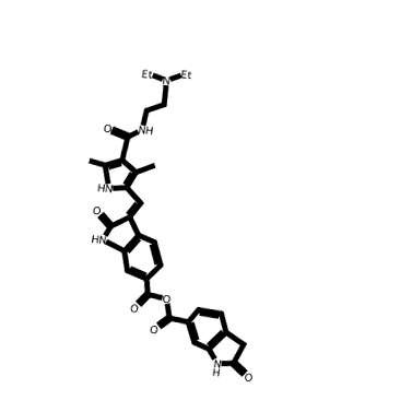 CCN(CC)CCNC(=O)c1c(C)[nH]c(C=C2C(=O)Nc3cc(C(=O)OC(=O)c4ccc5c(c4)NC(=O)C5)ccc32)c1C